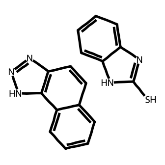 Sc1nc2ccccc2[nH]1.c1ccc2c(c1)ccc1nn[nH]c12